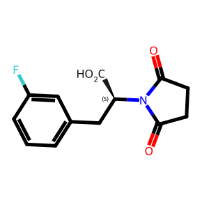 O=C(O)[C@H](Cc1cccc(F)c1)N1C(=O)CCC1=O